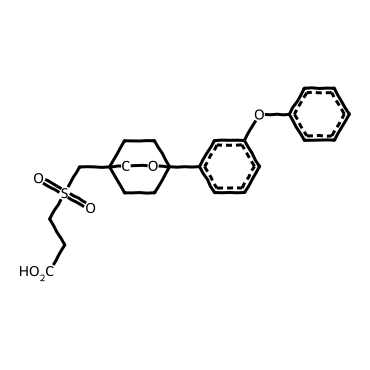 O=C(O)CCS(=O)(=O)CC12CCC(c3cccc(Oc4ccccc4)c3)(CC1)OC2